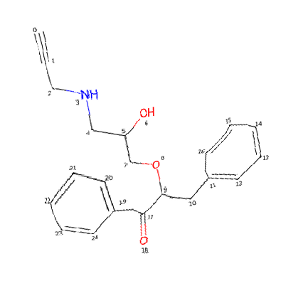 C#CCNCC(O)COC(Cc1ccccc1)C(=O)c1ccccc1